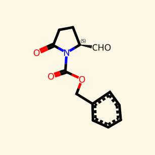 O=C[C@@H]1CCC(=O)N1C(=O)OCc1ccccc1